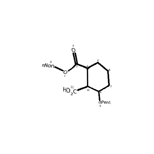 CCCCCCCCCOC(=O)C1CCCC(CCCCC)C1C(=O)O